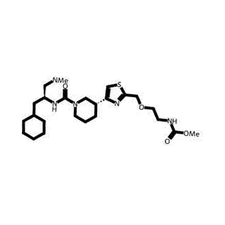 CNC[C@H](CC1CCCCC1)NC(=O)N1CCC[C@@H](c2csc(COCCNC(=O)OC)n2)C1